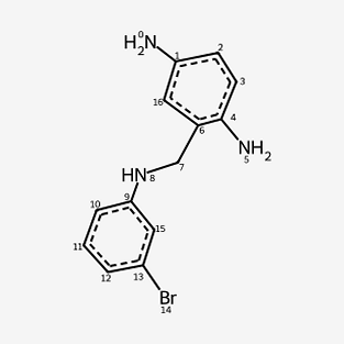 Nc1ccc(N)c(CNc2cccc(Br)c2)c1